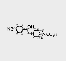 N#Cc1ccc(C(O)CN2CC3CC(C2)CN(C(=O)O)C3)cc1